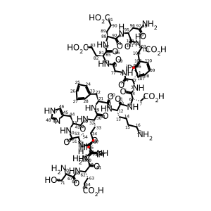 CC(C)C[C@H](NC(=O)[C@H](CC(=O)O)NC(=O)[C@H](CCCCN)NC(=O)[C@H](Cc1ccccc1)NC(=O)[C@H](CCCNC(=N)N)NC(=O)[C@H](Cc1c[nH]cn1)NC(=O)[C@H](C)NC(=O)[C@@H](NC(=O)[C@H](CCC(=O)O)NC(=O)[C@@H](N)CO)C(C)C)C(=O)NCC(=O)N[C@@H](CCC(=O)O)C(=O)N[C@@H](CCC(=O)O)C(=O)N[C@@H](CC(N)=O)C(=O)N[C@@H](Cc1ccccc1)C(=O)O